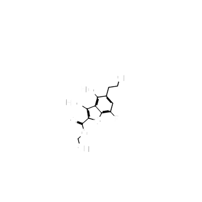 CCCc1cc(F)c2oc(C(=O)OCC)c(C)c2c1O